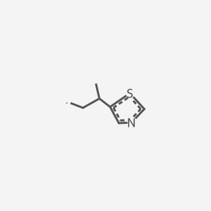 [CH2]CC(C)c1cncs1